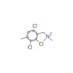 Cc1ccc(C[N+](C)(C)C)c(Cl)c1Cl.[Cl-]